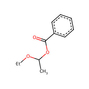 C[CH]OC(C)OC(=O)c1ccccc1